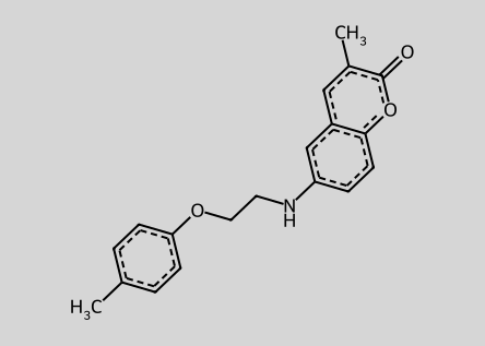 Cc1ccc(OCCNc2ccc3oc(=O)c(C)cc3c2)cc1